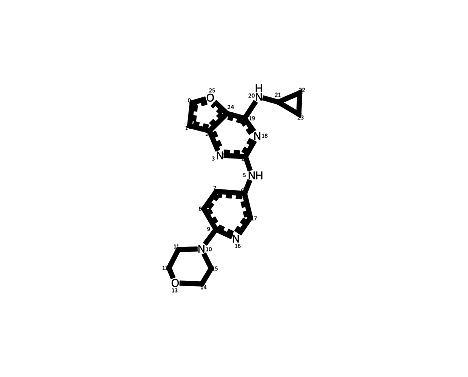 c1cc2nc(Nc3ccc(N4CCOCC4)nc3)nc(NC3CC3)c2o1